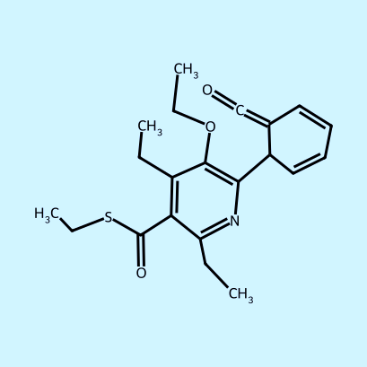 CCOc1c(C2C=CC=CC2=C=O)nc(CC)c(C(=O)SCC)c1CC